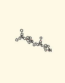 CC1(C)c2cc(N(c3ccc(-c4ccccc4)cc3)c3ccc(-c4cc5ccccc5c5c4oc4cccc(-c6cccnc6)c45)cc3)ccc2-c2cccc(-c3ccc(-c4cccc5oc6c(-c7ccc(N(c8ccc(-c9ccccc9)cc8)c8ccc(-c9ccccc9)cc8)cc7)cc7ccccc7c6c45)nc3)c21